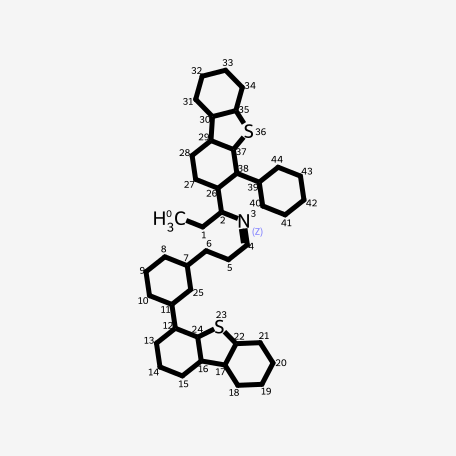 CCC(/N=C\CCC1CCCC(C2CCCC3C4CCCCC4SC23)C1)C1CCC2C3CCCCC3SC2C1C1CCCCC1